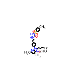 Cc1ccc(S(=O)(=O)NC(=O)NCCc2ccc(N3c4nc(C)cc(C)c4N(OC=O)C3CCCC(C)C)cc2)cc1